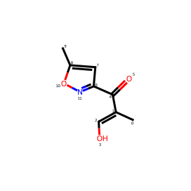 CC(=CO)C(=O)c1cc(C)on1